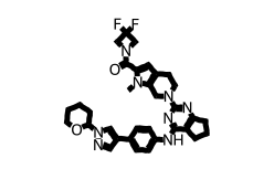 Cn1c(C(=O)N2CC(F)(F)C2)cc2c1CN(c1nc3c(c(Nc4ccc(-c5cnn(C6CCCCO6)c5)cc4)n1)CCC3)CC2